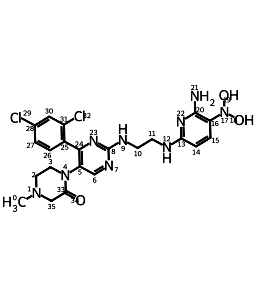 CN1CCN(c2cnc(NCCNc3ccc(N(O)O)c(N)n3)nc2-c2ccc(Cl)cc2Cl)C(=O)C1